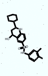 Cc1ccc(NS(=O)(=O)c2ccc3c(c2)C(O)CC(C2CCCCC2)N3)cc1C